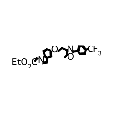 CCOC(=O)Cn1ccc2cc(OCCc3nc(-c4ccc(C(F)(F)F)cc4)oc3C)ccc21